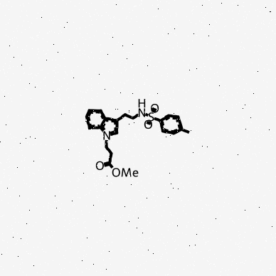 COC(=O)CCn1cc(CCNS(=O)(=O)c2ccc(C)cc2)c2ccccc21